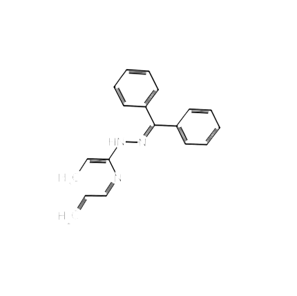 C=C/C=N\C(=C/C)NN=C(c1ccccc1)c1ccccc1